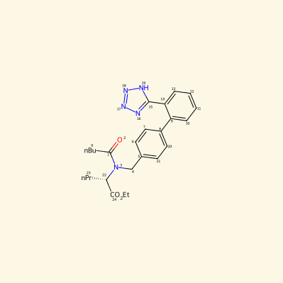 CCCCC(=O)N(Cc1ccc(-c2ccccc2-c2nnn[nH]2)cc1)[C@@H](CCC)C(=O)OCC